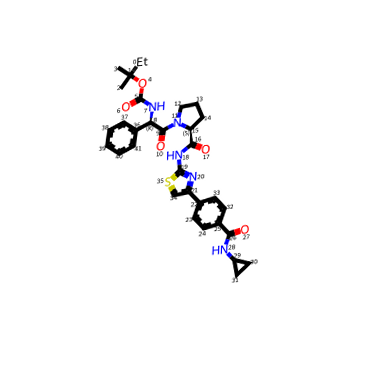 CCC(C)(C)OC(=O)N[C@@H](C(=O)N1CCC[C@H]1C(=O)Nc1nc(-c2ccc(C(=O)NC3CC3)cc2)cs1)c1ccccc1